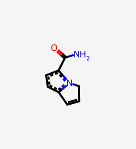 NC(=O)c1ccc2n1CC=C2